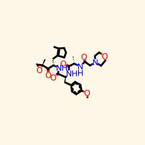 COc1ccc(C[C@H](NC(=O)[C@H](C)NC(=O)CN2CCOCC2)C(=O)N[C@@H](CC2=C(C)CCC2)C(=O)[C@@]2(C)CO2)cc1